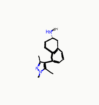 Cc1nn(C)c(C)c1-c1cccc2c1CC[C@H](NC(C)C)C2